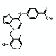 COC(=O)c1ccc(Nc2ncn(Cc3c(Cl)cccc3Cl)c3ncnc2-3)cc1